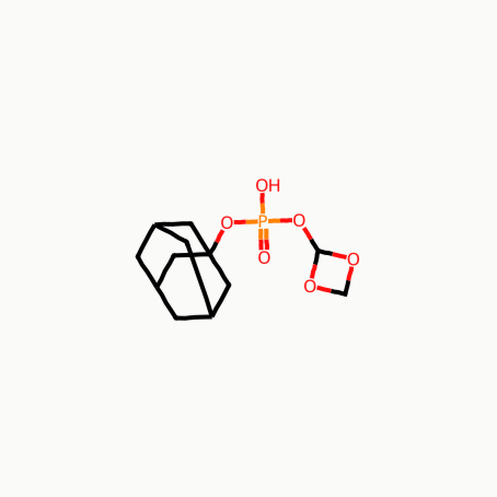 O=P(O)(OC1OCO1)OC12CC3CC(CC(C3)C1)C2